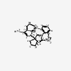 CCCc1cn(C2(CN(C(N)=O)c3c(C(C)C)cccc3C(C)C)CCCC2)c2ncccc12